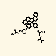 C=C(C)C(=O)OCC(O)COc1ccc(C2(c3ccc(OCC(O)COC(=O)C(C)(C)C)cc3)c3ccc4ccccc4c3-c3ccc4ccccc4c32)cc1